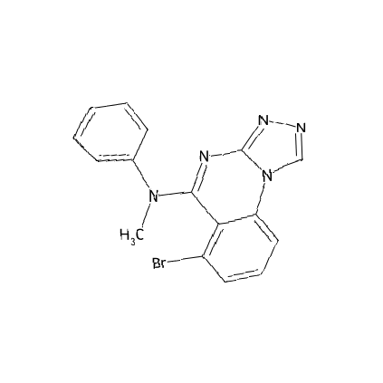 CN(c1ccccc1)c1nc2nncn2c2cccc(Br)c12